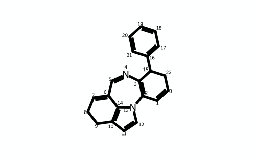 C1=CC2=C(N=CC3=CCCc4ccn2c43)C(c2ccccc2)C1